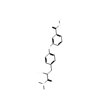 CN(C)C(=O)C(N)Cc1ccc(Oc2cccc(C(=O)NO)c2)cc1